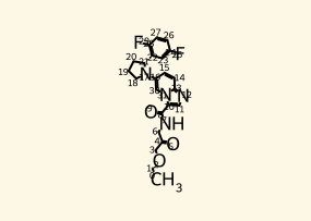 CCOCC(=O)CNC(=O)c1cnc2ccc(N3CCC[C@@H]3c3cc(F)ccc3F)cn12